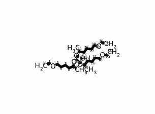 C=COCCCCC(C)O[Si](O)(OC(C)CCCCOC=C)OC(C)CCCCOC=C